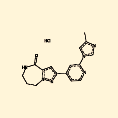 Cc1cn(-c2cc(-c3cc4n(n3)CCCNC4=O)ccn2)cn1.Cl